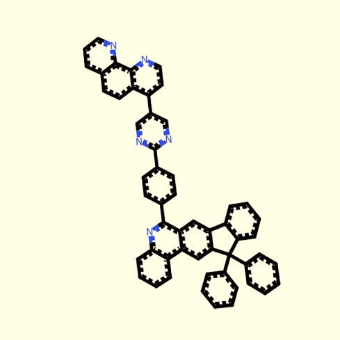 c1ccc(C2(c3ccccc3)c3ccccc3-c3cc4c(-c5ccc(-c6ncc(-c7ccnc8c7ccc7cccnc78)cn6)cc5)nc5ccccc5c4cc32)cc1